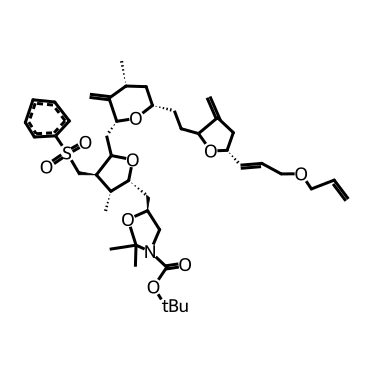 C=CCOC/C=C/[C@H]1CC(=C)C(CC[C@H]2C[C@@H](C)C(=C)[C@@H](CC3O[C@H](C[C@H]4CN(C(=O)OC(C)(C)C)C(C)(C)O4)[C@H](C)[C@H]3CS(=O)(=O)c3ccccc3)O2)O1